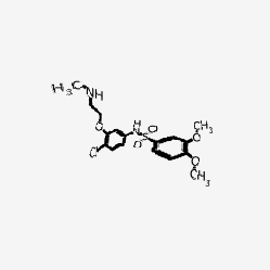 CNCCOc1cc(NS(=O)(=O)c2ccc(OC)c(OC)c2)ccc1Cl